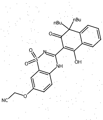 CCCCC1(CCCC)C(=O)C(C2=NS(=O)(=O)c3cc(OCC#N)ccc3N2)=C(O)c2ccccc21